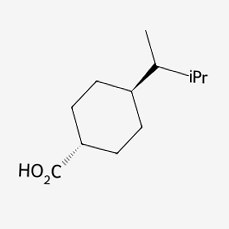 CC(C)C(C)[C@H]1CC[C@H](C(=O)O)CC1